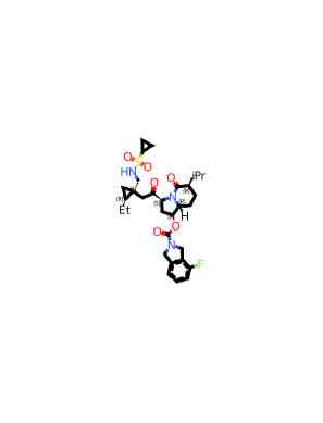 CC[C@@H]1C[C@@]1(CNS(=O)(=O)C1CC1)CC(=O)[C@@H]1C[C@@H](OC(=O)N2Cc3cccc(F)c3C2)[C@H]2CC[C@H](C(C)C)C(=O)N21